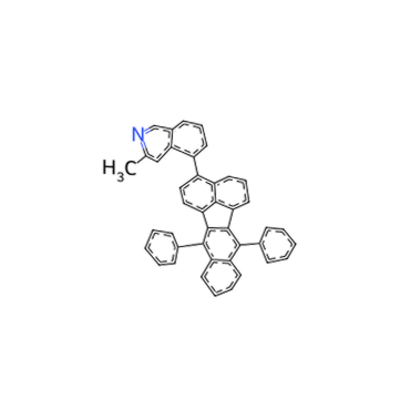 Cc1cc2c(-c3ccc4c5c(cccc35)-c3c-4c(-c4ccccc4)c4ccccc4c3-c3ccccc3)cccc2cn1